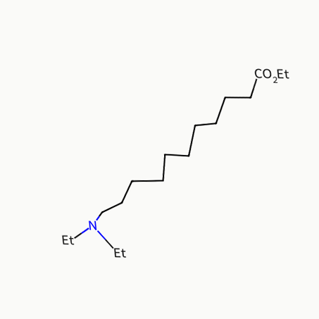 CCOC(=O)CCCCCCCCCCN(CC)CC